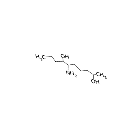 CCCC(O)C(N)CCCC(C)O